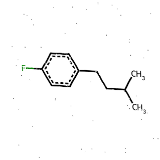 C[C](C)CCc1ccc(F)cc1